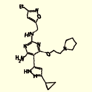 CCc1cc(CNc2nc(N)c(-c3cc(C4CC4)n[nH]3)c(OCCN3CCCC3)n2)on1